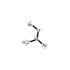 CC(=O)ON(C)C(C)=O